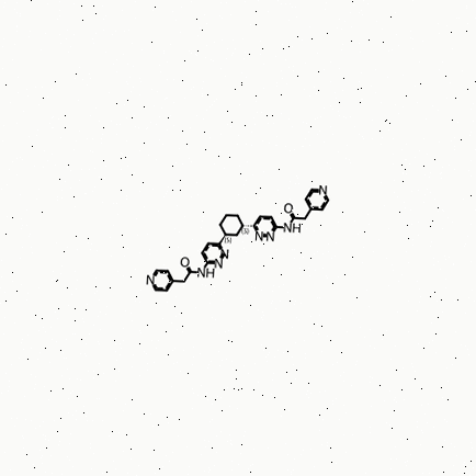 O=C(Cc1ccncc1)Nc1ccc([C@H]2CCC[C@H](c3ccc(NC(=O)Cc4ccncc4)nn3)C2)nn1